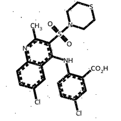 Cc1nc2ccc(Cl)cc2c(Nc2ccc(Cl)cc2C(=O)O)c1S(=O)(=O)N1CCSCC1